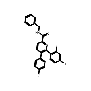 O=C(NCc1ccccc1)c1ccc(-c2ccc(Cl)cc2)c(-c2ccc(Cl)cc2Cl)n1